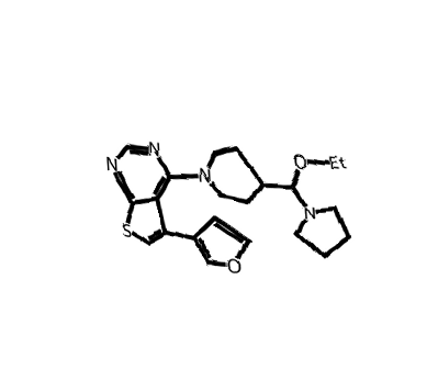 CCOC(C1CCN(c2ncnc3scc(-c4ccoc4)c23)CC1)N1CCCC1